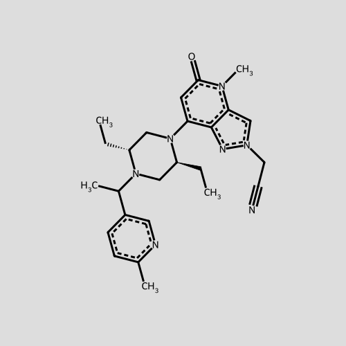 CC[C@H]1CN(C(C)c2ccc(C)nc2)[C@H](CC)CN1c1cc(=O)n(C)c2cn(CC#N)nc12